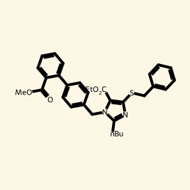 CCCCc1nc(SCc2ccccc2)c(C(=O)OCC)n1Cc1ccc(-c2ccccc2C(=O)OC)cc1